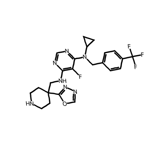 Fc1c(NCC2(c3nnco3)CCNCC2)ncnc1N(Cc1ccc(C(F)(F)F)cc1)C1CC1